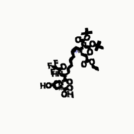 CCOC(=O)CC[C@@H](/C=C\CCCCC[C@H](NC(=O)C(F)(F)F)C(=O)N1C[C@H](O)C[C@H]1C(=O)O)N(C(=O)OC(C)(C)C)C(=O)OC(C)(C)C